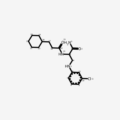 NC(=O)C(CNc1cccc(Cl)c1)NC(=O)[CH]CC1CCCCC1